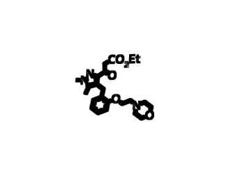 CCOC(=O)CC(=O)c1nn(C)c(C)c1Cc1ccccc1OCCN1CCOCC1